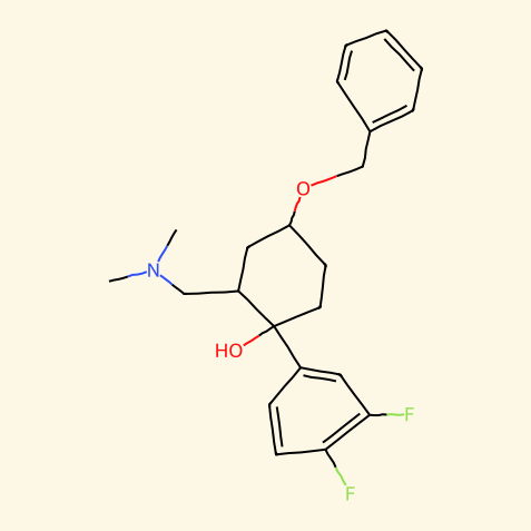 CN(C)CC1CC(OCc2ccccc2)CCC1(O)c1ccc(F)c(F)c1